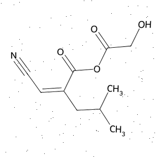 CC(C)CC(=CC#N)C(=O)OC(=O)CO